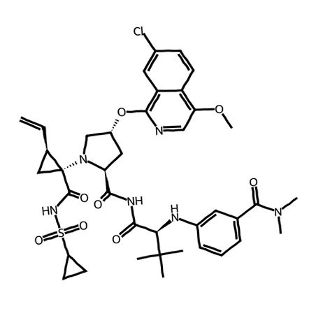 C=C[C@@H]1C[C@@]1(C(=O)NS(=O)(=O)C1CC1)N1C[C@H](Oc2ncc(OC)c3ccc(Cl)cc23)C[C@H]1C(=O)NC(=O)[C@@H](Nc1cccc(C(=O)N(C)C)c1)C(C)(C)C